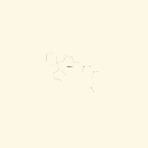 CC(CNC(=O)OC(C)(C)C)CC(=O)Oc1ccc(C2(c3ccccc3)CCCCC2)cc1